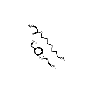 C=CC(=O)OCCCCCCCC.C=CC=C.C=Cc1ccccc1